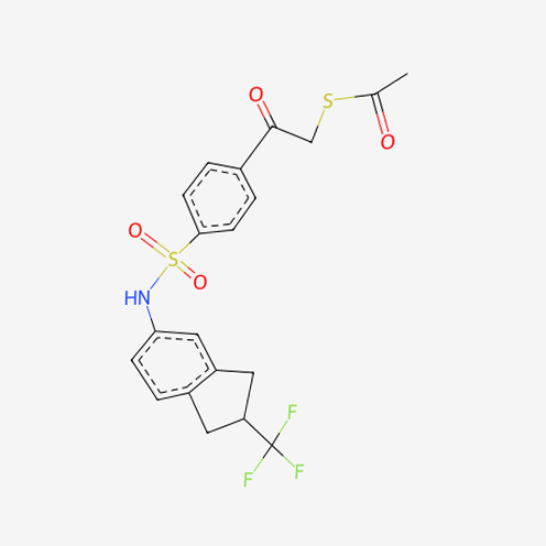 CC(=O)SCC(=O)c1ccc(S(=O)(=O)Nc2ccc3c(c2)CC(C(F)(F)F)C3)cc1